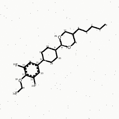 CCCCCC1COC(C2CCC(c3cc(F)c(OCF)c(F)c3)CC2)OC1